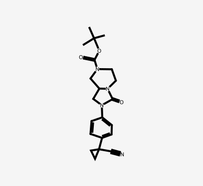 CC(C)(C)OC(=O)N1CCN2C(=O)N(c3ccc(C4(C#N)CC4)cc3)CC2C1